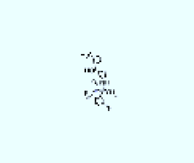 CNN(/C(=C\CC(F)(F)F)C(=O)Nc1cccc(C(O)c2cccc(C)c2)c1)c1cccc(C#N)c1